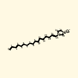 CCCCCCCCCCCCCCCC=CN1C=[N+]([O-])CC1